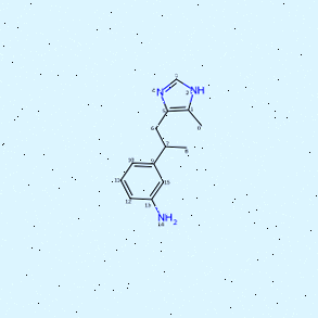 Cc1[nH]cnc1CC(C)c1cccc(N)c1